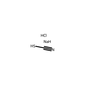 Cl.N#CS.[NaH]